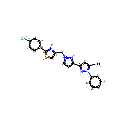 Cc1cc(-c2ccn(Cc3csc(-c4ccc(Cl)cc4)n3)n2)nn1-c1ccccc1